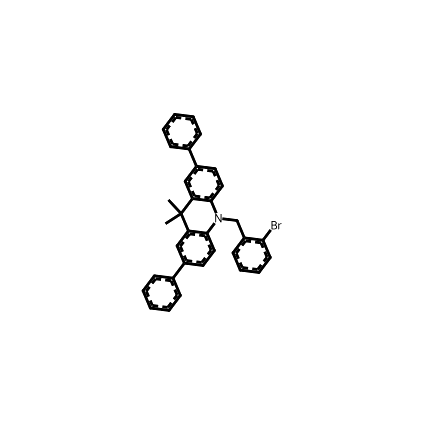 CC1(C)c2cc(-c3ccccc3)ccc2N(Cc2ccccc2Br)c2ccc(-c3ccccc3)cc21